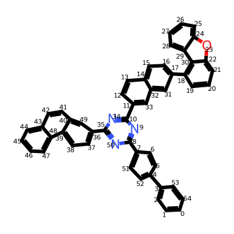 c1ccc(-c2ccc(-c3nc(-c4ccc5ccc(-c6cccc7oc8ccccc8c67)cc5c4)nc(-c4ccc5c(ccc6ccccc65)c4)n3)cc2)cc1